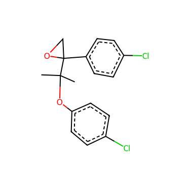 CC(C)(Oc1ccc(Cl)cc1)C1(c2ccc(Cl)cc2)CO1